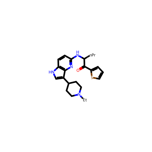 CCCC(Nc1ccc2[nH]cc(C3CCN(CC)CC3)c2n1)C(=O)c1cccs1